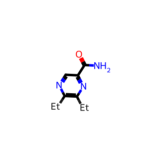 CCc1ncc(C(N)=O)nc1CC